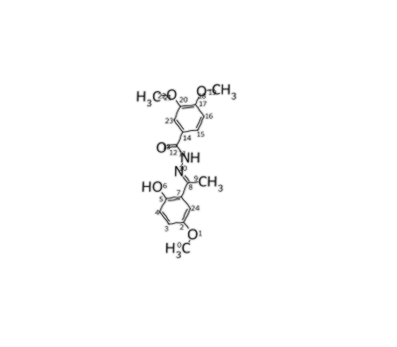 COc1ccc(O)c(C(C)=NNC(=O)c2ccc(OC)c(OC)c2)c1